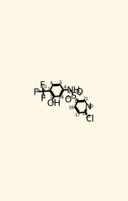 O=S(=O)(Nc1ccc(C(F)(F)F)c(O)c1)c1ccc(Cl)nc1